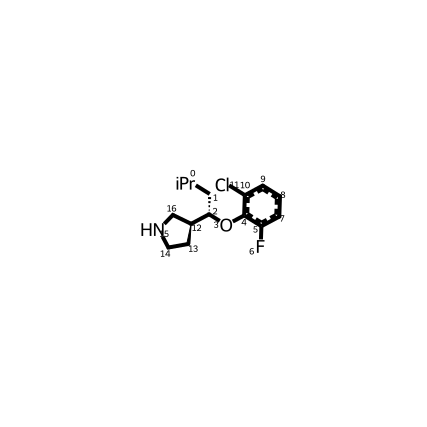 CC(C)C[C@H](Oc1c(F)cccc1Cl)[C@H]1CCNC1